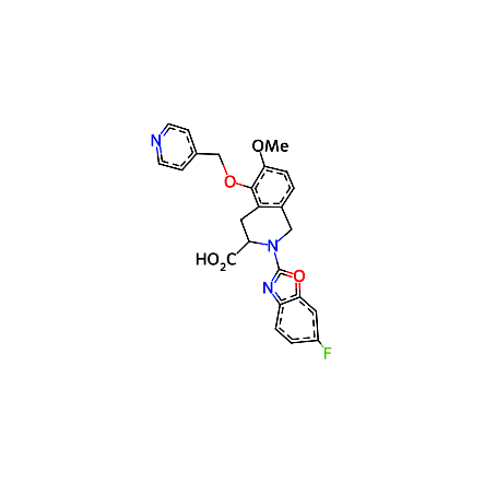 COc1ccc2c(c1OCc1ccncc1)CC(C(=O)O)N(c1nc3ccc(F)cc3o1)C2